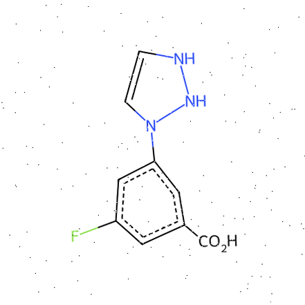 O=C(O)c1cc(F)cc(N2C=CNN2)c1